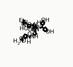 CCn1nnc([C@H]2O[C@@H](n3cnc4c(NCC(c5ccc(O)cc5)c5ccc(O)cc5)nc(N5CC[C@@H](NC(=O)Nc6cccc(S(N)(=O)=O)c6)C5)nc43)[C@@H](O)[C@@H]2O)n1